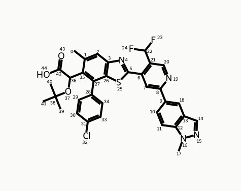 Cc1cc2nc(-c3cc(-c4ccc5c(cnn5C)c4)ncc3C(F)F)sc2c(-c2ccc(Cl)cc2)c1C(OC(C)(C)C)C(=O)O